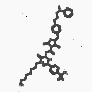 CCCOCCOCCCNC(=O)[C@@H](CC(=O)N1C(=O)SC(Cc2ccc(OCCN(C)c3ccccn3)cc2)C1=O)NC(=O)c1ccc(C2(C(F)(F)F)N=N2)cc1